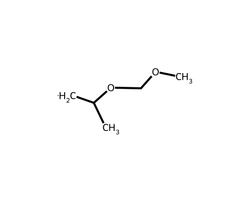 [CH2]C(C)OCOC